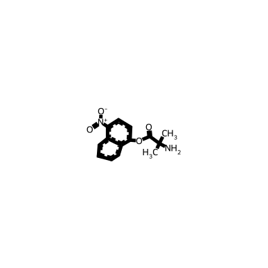 CC(C)(N)C(=O)Oc1ccc([N+](=O)[O-])c2ccccc12